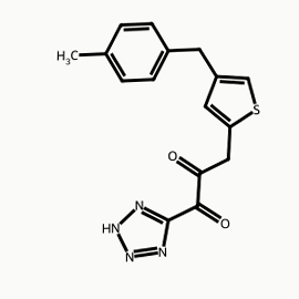 Cc1ccc(Cc2csc(CC(=O)C(=O)c3nn[nH]n3)c2)cc1